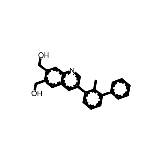 Cc1c(-c2ccccc2)cccc1-c1cnc2cc(CO)c(CO)cc2c1